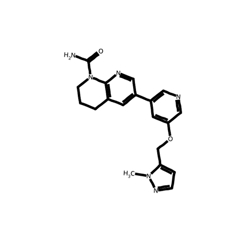 Cn1nccc1COc1cncc(-c2cnc3c(c2)CCCN3C(N)=O)c1